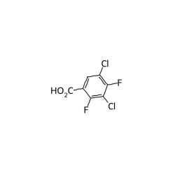 O=C(O)c1cc(Cl)c(F)c(Cl)c1F